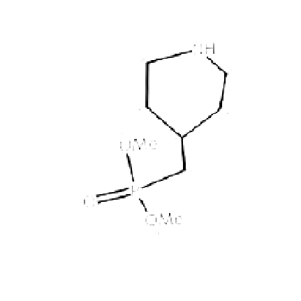 COP(=O)(CC1CCNCC1)OC